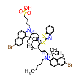 CCCCC[N+]1=C(/C=C/C2=C(Sc3nc4ccccc4s3)C(=C/C=C3/N(CCCCS(=O)(=O)O)c4ccc5cc(Br)ccc5c4C3(C)C)/CCC2)C(C)(C)c2c1ccc1cc(Br)ccc21